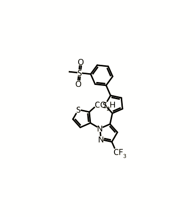 CS(=O)(=O)c1cccc(-c2ccc(-c3cc(C(F)(F)F)nn3-c3ccsc3C(=O)O)s2)c1